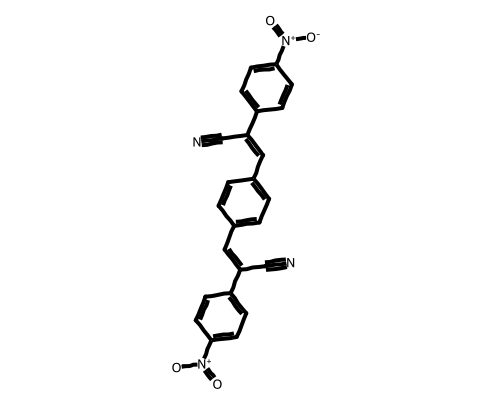 N#C/C(=C\c1ccc(/C=C(\C#N)c2ccc([N+](=O)[O-])cc2)cc1)c1ccc([N+](=O)[O-])cc1